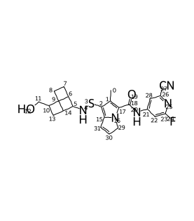 Cc1c(SNC2C3CCC34C(CO)CC24)c2n(c1C(=O)Nc1cc(F)nc(C#N)c1)CC=C2